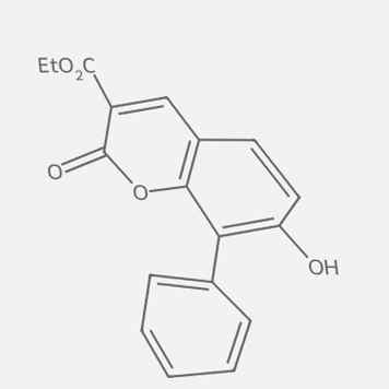 CCOC(=O)c1cc2ccc(O)c(-c3ccccc3)c2oc1=O